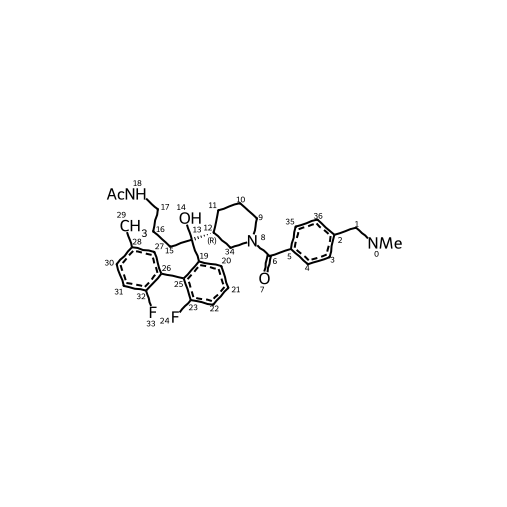 CNCc1ccc(C(=O)N2CCC[C@@H](C(O)(CCCNC(C)=O)c3cccc(F)c3-c3cc(C)ccc3F)C2)cc1